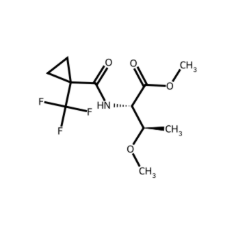 COC(=O)[C@@H](NC(=O)C1(C(F)(F)F)CC1)[C@@H](C)OC